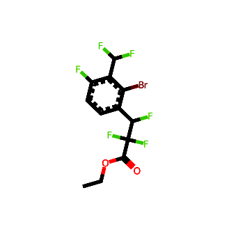 CCOC(=O)C(F)(F)C(F)c1ccc(F)c(C(F)F)c1Br